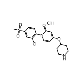 CS(=O)(=O)c1ccc(-n2ccc(OC3CCNCC3)cc2=O)c(Cl)c1.Cl